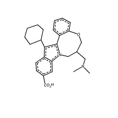 CN(C)CC1COc2ccccc2-c2c(C3CCCCC3)c3ccc(C(=O)O)cc3n2C1